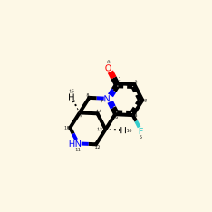 O=c1ccc(F)c2n1C[C@@H]1CNC[C@H]2C1